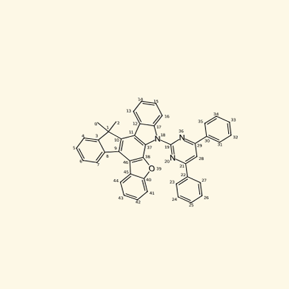 CC1(C)c2ccccc2-c2c1c1c3ccccc3n(-c3nc(-c4ccccc4)cc(-c4ccccc4)n3)c1c1oc3ccccc3c21